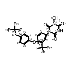 Cn1c(=O)[nH]c(=O)n(-c2ccc(Oc3ccc(SC(F)(F)F)cc3)c(C(F)(F)F)c2)c1=O